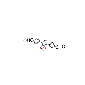 O=Cc1ccc(-c2ccc(-c3ccc(C=O)cc3)c3occc23)cc1